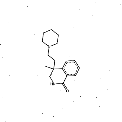 CC1(CCN2CCCCC2)CNC(=O)c2ccccc21